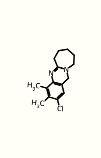 Cc1c(Cl)cc2c(c1C)N=C1CCCCCN1C2